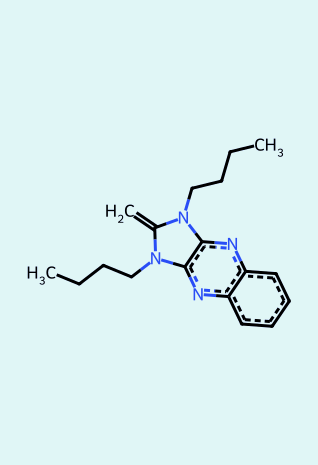 C=C1N(CCCC)c2nc3ccccc3nc2N1CCCC